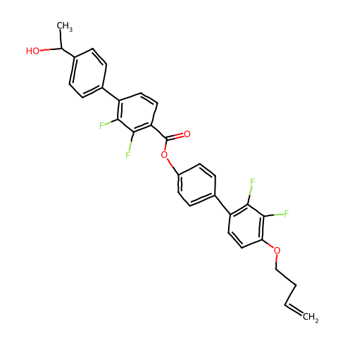 C=CCCOc1ccc(-c2ccc(OC(=O)c3ccc(-c4ccc(C(C)O)cc4)c(F)c3F)cc2)c(F)c1F